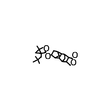 CC(C)(C)CC1(C(=O)OC2CC3CC2C2C4CC(C5C(=O)OCC45)C32)CC1(C)C